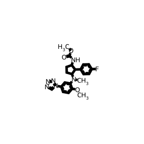 COC(=O)NC1CCC(N(C)c2cc(-n3cnnn3)ccc2OC)C1c1ccc(F)cc1